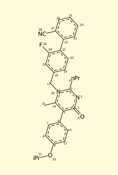 CCCc1nc(=O)c(-c2ccc(OC(C)C)cc2)c(C)n1Cc1ccc(-c2ccccc2C#N)c(F)c1